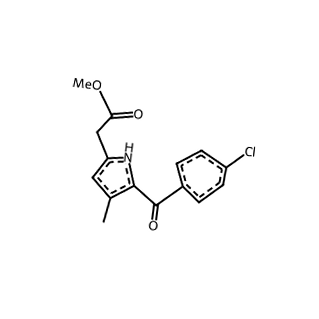 COC(=O)Cc1cc(C)c(C(=O)c2ccc(Cl)cc2)[nH]1